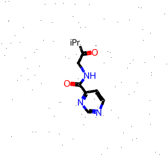 CC(C)C(=O)CNC(=O)c1ccncn1